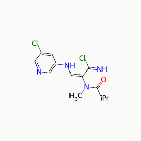 CC(C)C(=O)N(C)/C(=C/Nc1cncc(Cl)c1)C(=N)Cl